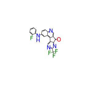 O=C1c2cnc3ccc(Nc4ccccc4F)cc3c2-c2cnc(C(F)(F)F)nc21